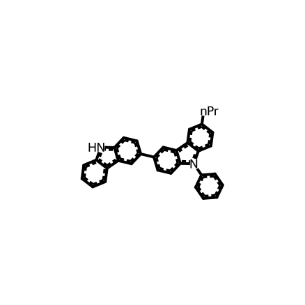 CCCc1ccc2c(c1)c1cc(-c3ccc4[nH]c5ccccc5c4c3)ccc1n2-c1ccccc1